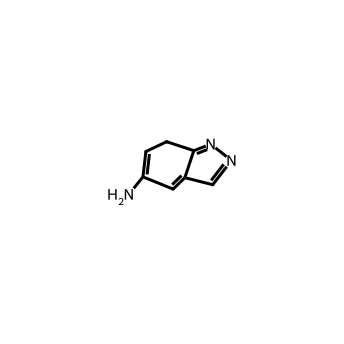 NC1=CCC2=NN=CC2=C1